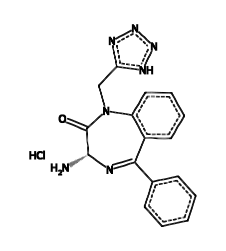 Cl.N[C@H]1N=C(c2ccccc2)c2ccccc2N(Cc2nnn[nH]2)C1=O